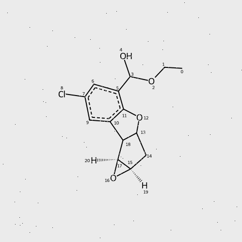 CCOC(O)c1cc(Cl)cc2c1OC1C[C@H]3O[C@H]3C21